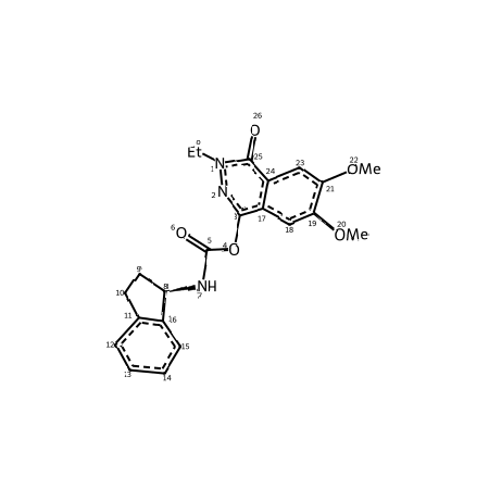 CCn1nc(OC(=O)N[C@@H]2CCc3ccccc32)c2cc(OC)c(OC)cc2c1=O